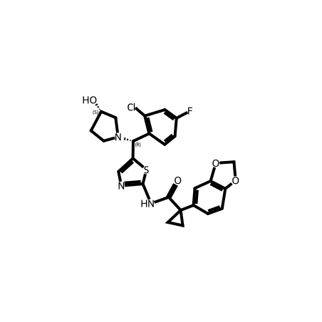 O=C(Nc1ncc([C@@H](c2ccc(F)cc2Cl)N2CC[C@H](O)C2)s1)C1(c2ccc3c(c2)OCO3)CC1